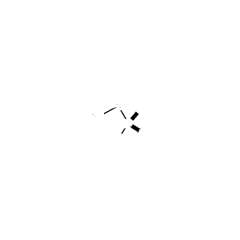 N#CNS(=O)(=O)O